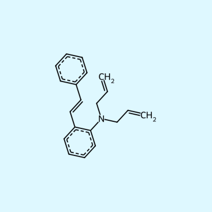 C=CCN(CC=C)c1ccccc1C=Cc1ccccc1